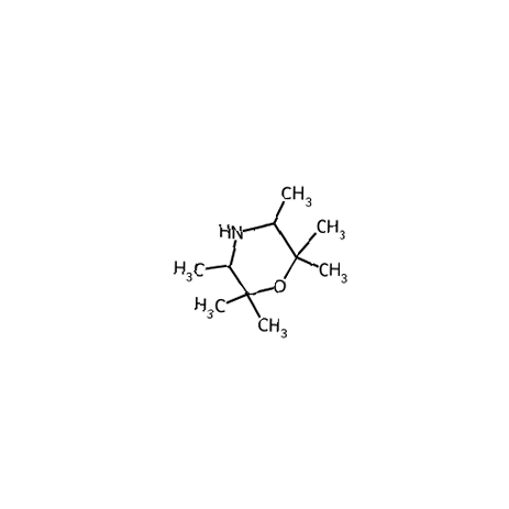 CC1NC(C)C(C)(C)OC1(C)C